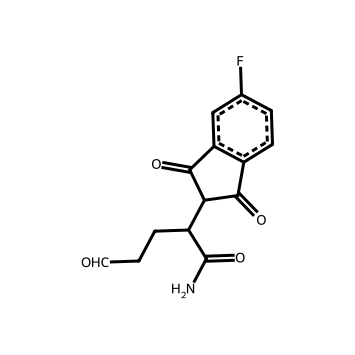 NC(=O)C(CCC=O)C1C(=O)c2ccc(F)cc2C1=O